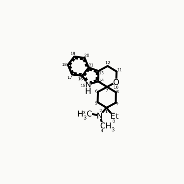 CCC1(N(C)C)CCC2(CC1)OCCc1c2[nH]c2ccccc12